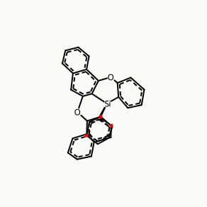 c1ccc([Si]23c4ccccc4Oc4c2c(cc2ccccc42)Oc2c3ccc3ccccc23)cc1